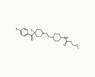 COCCC(=O)NC1CCC(CCN2CCC(F)(C(=O)c3ccc(F)cc3)CC2)CC1